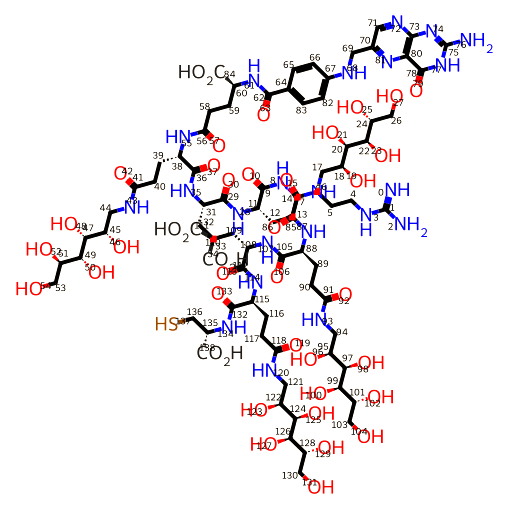 N=C(N)NCCC[C@H](NC(=O)[C@H](CCC(=O)NC[C@H](O)[C@@H](O)[C@H](O)[C@H](O)CO)NC(=O)[C@H](CCC(=O)O)NC(=O)[C@H](CCC(=O)NC[C@H](O)[C@@H](O)[C@H](O)[C@H](O)CO)NC(=O)CC[C@H](NC(=O)c1ccc(NCc2cnc3nc(N)[nH]c(=O)c3n2)cc1)C(=O)O)C(=O)N[C@@H](CCC(=O)NC[C@H](O)[C@@H](O)[C@H](O)[C@H](O)CO)C(=O)N[C@@H](CCC(=O)O)C(=O)N[C@@H](CCC(=O)NC[C@H](O)[C@@H](O)[C@H](O)[C@H](O)CO)C(=O)N[C@@H](CS)C(=O)O